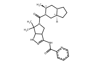 C[C@H]1CN2CCC[C@H]2CN1C(=O)N1CC2C(NC(=O)c3ccccn3)=NNC2C1(C)C